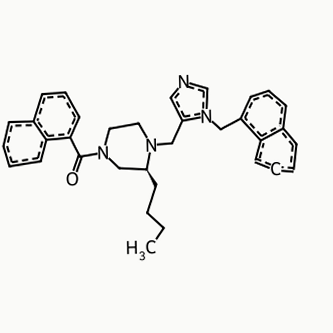 CCCC[C@H]1CN(C(=O)c2cccc3ccccc23)CCN1Cc1cncn1Cc1cccc2ccccc12